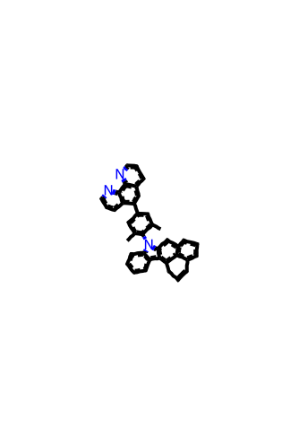 Cc1cc(-c2cc3cccnc3c3ncccc23)cc(C)c1-n1c2ccccc2c2c3c4c(cccc4cc21)C=CC3